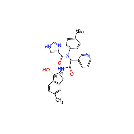 Cc1ccc2c(c1)C[C@H](NC(=O)C(c1cccnc1)N(C(=O)c1c[nH]cn1)c1ccc(C(C)(C)C)cc1)[C@H]2O